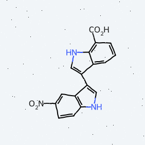 O=C(O)c1cccc2c(-c3c[nH]c4ccc([N+](=O)[O-])cc34)c[nH]c12